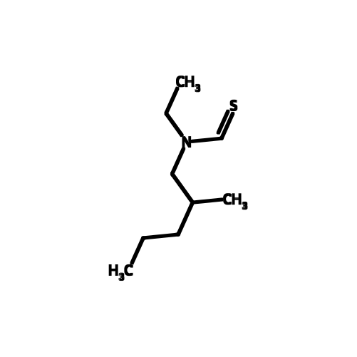 CCCC(C)CN(C=S)CC